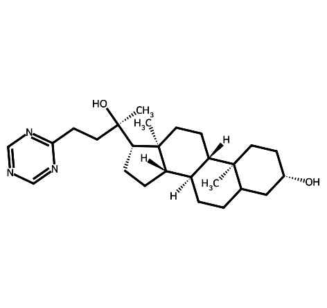 C[C@]12CC[C@H]3[C@@H](CCC4C[C@@H](O)CC[C@@]43C)[C@@H]1CC[C@@H]2[C@](C)(O)CCc1ncncn1